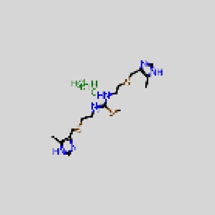 CS/C(=N\CCSCc1nc[nH]c1C)NCCSCc1nc[nH]c1C.Cl.Cl.Cl